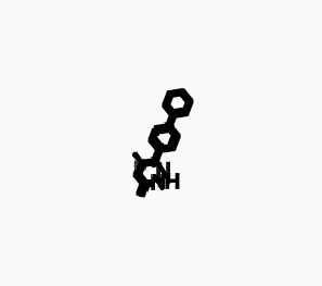 C=C1C[C@@H](C)C(c2ccc(C3=CCCCC3)cc2)=NN1